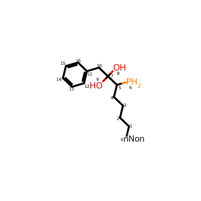 CCCCCCCCCCCCCC(P)C(O)(O)Cc1ccccc1